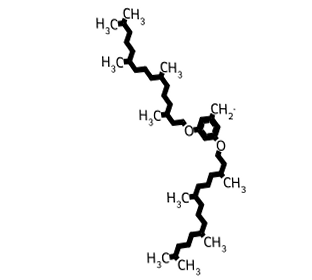 [CH2]c1cc(OCCC(C)CCCC(C)CCCC(C)CCCC(C)C)cc(OCCC(C)CCCC(C)CCCC(C)CCCC(C)C)c1